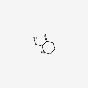 O=C1CCCNC1CO